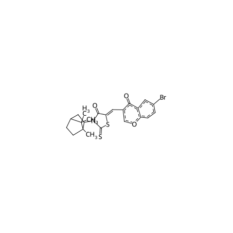 CC1(C)C2CCC1(C)C(N1C(=O)/C(=C/c3coc4ccc(Br)cc4c3=O)SC1=S)C2